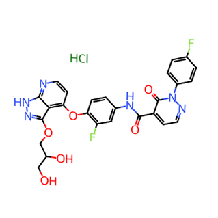 Cl.O=C(Nc1ccc(Oc2ccnc3[nH]nc(OCC(O)CO)c23)c(F)c1)c1ccnn(-c2ccc(F)cc2)c1=O